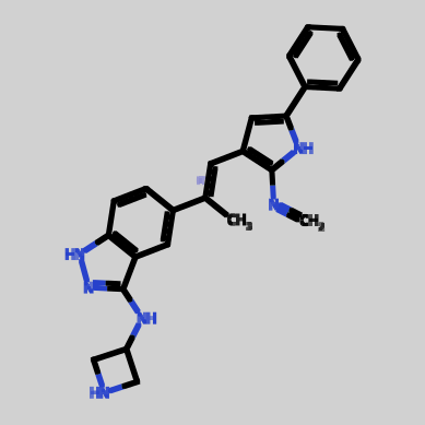 C=Nc1[nH]c(-c2ccccc2)cc1/C=C(\C)c1ccc2[nH]nc(NC3CNC3)c2c1